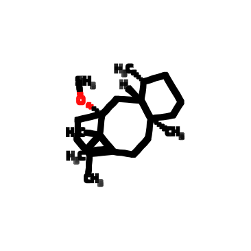 CC1=C2CC[C@]3(C)CCC[C@@H](C)[C@H]3C[C@](O[SiH3])(CC1)C2(C)C